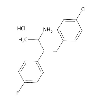 CC(N)C(Cc1ccc(Cl)cc1)c1ccc(F)cc1.Cl